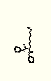 N#COCCCCCCN(C(=O)Oc1ccccc1)C(=O)Oc1ccccc1